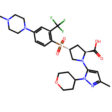 Cc1cc(N2C[C@H](S(=O)(=O)c3ccc(N4CCN(C)CC4)cc3C(F)(F)F)C[C@H]2C(=O)O)n(C2CCOCC2)n1